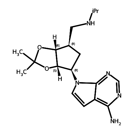 CC(C)NC[C@H]1C[C@@H](n2ccc3c(N)ncnc32)[C@@H]2OC(C)(C)O[C@H]12